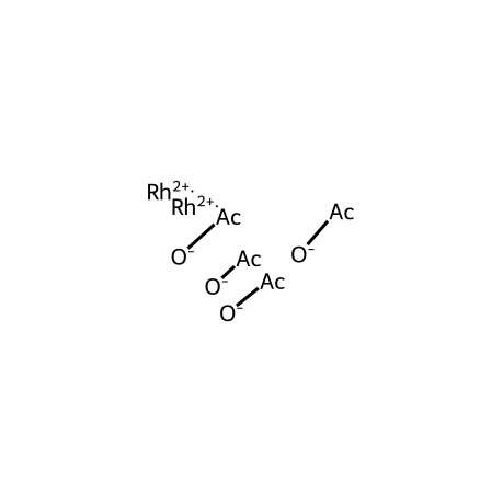 CC(=O)[O-].CC(=O)[O-].CC(=O)[O-].CC(=O)[O-].[Rh+2].[Rh+2]